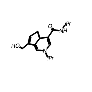 CC(C)NC(=O)C1=CN(C(C)C)C=C2C(CO)=CCC12